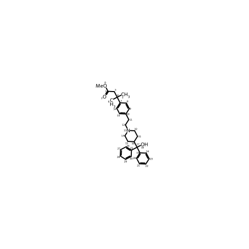 COC(=O)CC(C)(C)c1ccc(CCN2CCC(C(O)(c3ccccc3)c3ccccc3)CC2)cc1